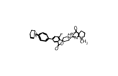 CN1CCCc2c1nc(N1CCC3(CC1)OC(=O)c1cc(-c4ccc(N5CCCCC5)cc4)cc(F)c13)[nH]c2=O